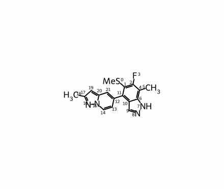 CSc1c(F)c(C)c2[nH]ncc2c1-c1ccn2nc(C)cc2c1